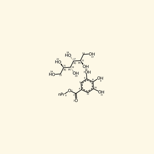 CCCOC(=O)c1cc(O)c(O)c(O)c1.OC[C@@H](O)[C@@H](O)[C@H](O)[C@H](O)CO